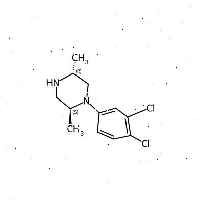 C[C@@H]1CN(c2ccc(Cl)c(Cl)c2)[C@@H](C)CN1